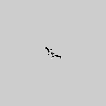 C[CH2][Ca][CH3]